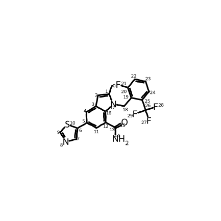 Cc1cc2cc(-c3cncs3)cc(C(N)=O)c2n1Cc1c(F)cccc1C(F)(F)F